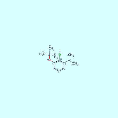 C[C](C)c1cccc(OC(C)(C)C)c1Br